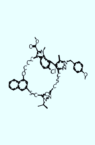 COC(=O)c1c2c3ccc(Cl)c(c3n1C)-c1c(nn(Cc3ccc(OC)cc3)c1C)CSCc1cc(n(C(C)C)n1)CSc1cc(c3ccccc3c1)OCCC2